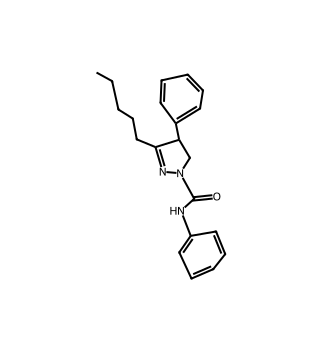 CCCCCC1=NN(C(=O)Nc2ccccc2)CC1c1ccccc1